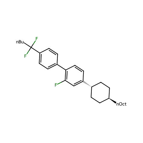 CCCCCCCC[C@H]1CC[C@H](c2ccc(-c3ccc(C(F)(F)CCCC)cc3)c(F)c2)CC1